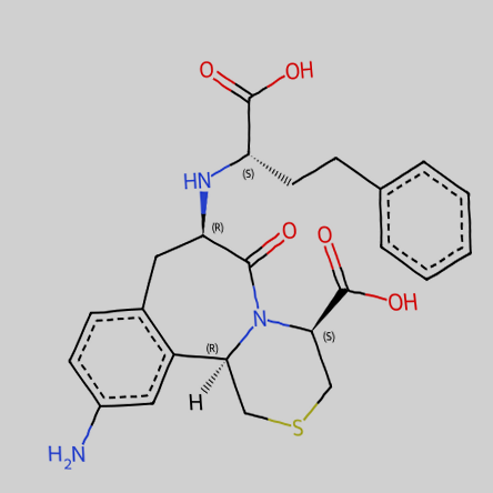 Nc1ccc2c(c1)[C@@H]1CSC[C@H](C(=O)O)N1C(=O)[C@H](N[C@@H](CCc1ccccc1)C(=O)O)C2